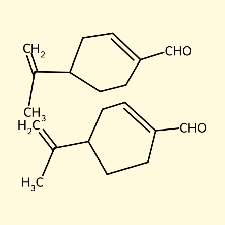 C=C(C)C1CC=C(C=O)CC1.C=C(C)C1CC=C(C=O)CC1